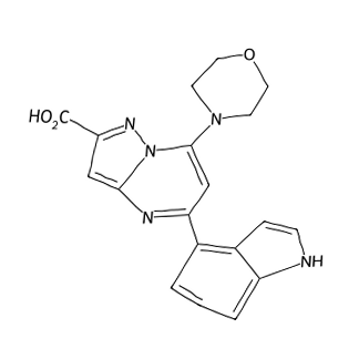 O=C(O)c1cc2nc(-c3cccc4[nH]ccc34)cc(N3CCOCC3)n2n1